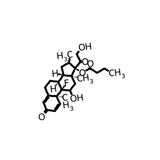 CCCC(=O)O[C@]1(C(=O)CO)C(C)C[C@H]2[C@@H]3CCC4=CC(=O)C=C[C@]4(C)[C@@]3(F)C(O)C[C@@]21C